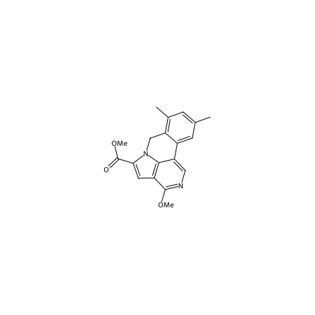 COC(=O)c1cc2c(OC)ncc3c2n1Cc1c(C)cc(C)cc1-3